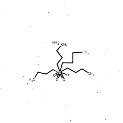 CCC[CH2][Mn](=[O])(=[O])(=[O])([O-])([CH2]CCC)([CH2]CCC)[CH2]CCC.[NH4+]